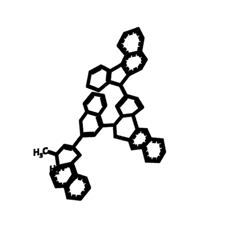 CC(/C=C(\CC(N)c1ccccc1)C1=CC(C2Cc3cc4ccccc4cc3C3C=CC(C4C5=C(C=CCC5)c5c4ccc4ccccc54)=CC23)=C2C=CC=CC2C1)c1ccccc1